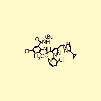 Cc1cc(Cl)cc(C(=O)NC(C)(C)C)c1NC(=O)c1cc(Cn2ncc(C3CC3)n2)nn1-c1ncccc1Cl